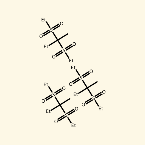 CCC(C)(S(=O)(=O)CC)S(=O)(=O)CC.CCC(C)(S(=O)(=O)CC)S(=O)(=O)CC.CCC(C)(S(=O)(=O)CC)S(=O)(=O)CC